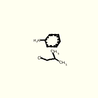 CC(C)CCl.[AlH2][c]1ccccc1